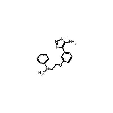 CN(CCOc1cccc(-c2nn[nH]c2N)c1)c1ccccc1